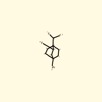 CC(C)C12CCC(C(F)F)(CC1)C(F)C2